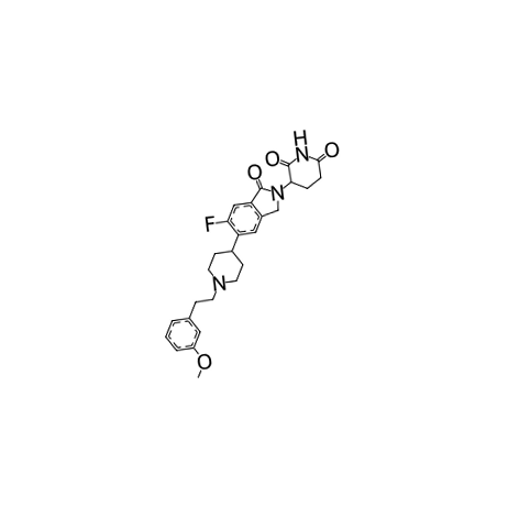 COc1cccc(CCN2CCC(c3cc4c(cc3F)C(=O)N(C3CCC(=O)NC3=O)C4)CC2)c1